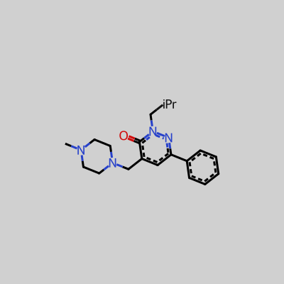 CC(C)Cn1nc(-c2ccccc2)cc(CN2CCN(C)CC2)c1=O